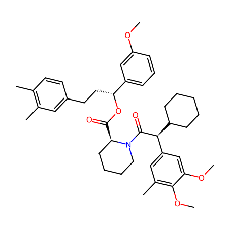 COc1cccc([C@@H](CCc2ccc(C)c(C)c2)OC(=O)[C@@H]2CCCCN2C(=O)[C@H](c2cc(C)c(OC)c(OC)c2)C2CCCCC2)c1